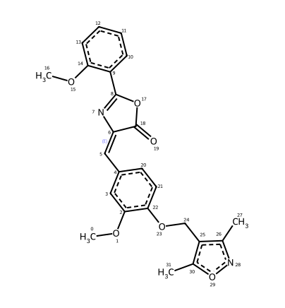 COc1cc(/C=C2/N=C(c3ccccc3OC)OC2=O)ccc1OCc1c(C)noc1C